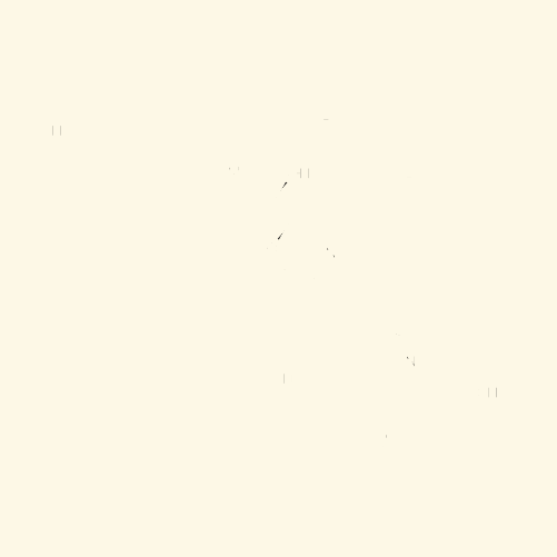 CCCN(CCC)C(=O)c1cc(C)cc(C(=O)NC(c2cc(F)cc(F)c2)[C@@H](O)[C@H](O)COCCc2ccc(C)cc2)c1